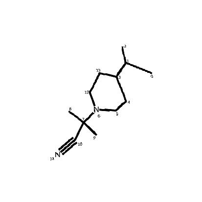 CC(C)C1CCN(C(C)(C)C#N)CC1